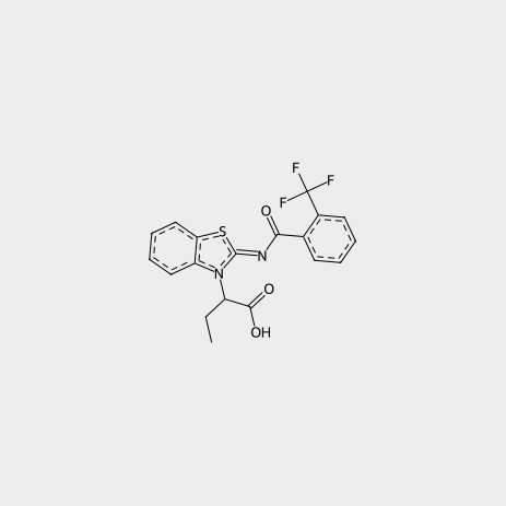 CCC(C(=O)O)n1/c(=N/C(=O)c2ccccc2C(F)(F)F)sc2ccccc21